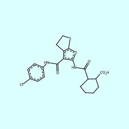 O=C(Nc1ccc(Cl)cc1)c1c(NC(=O)C2CCCCC2C(=O)O)sc2c1CCS2